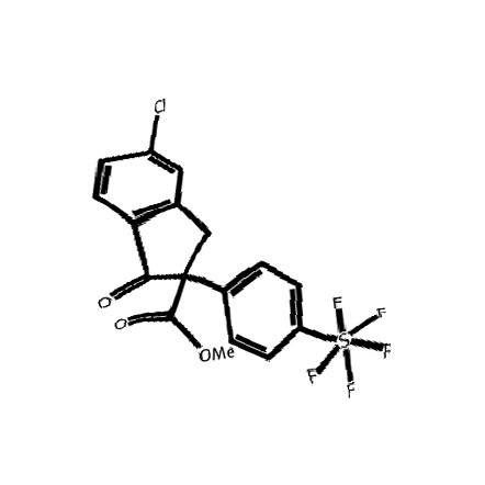 COC(=O)C1(c2ccc(S(F)(F)(F)(F)F)cc2)Cc2cc(Cl)ccc2C1=O